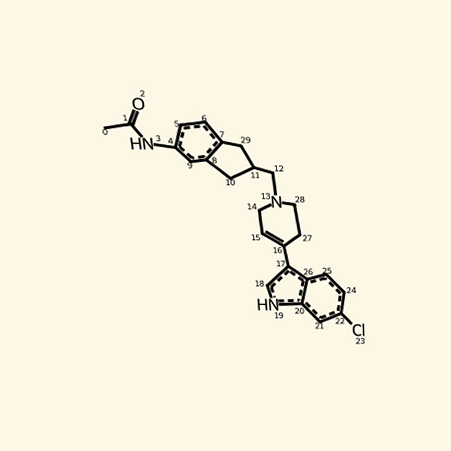 CC(=O)Nc1ccc2c(c1)CC(CN1CC=C(c3c[nH]c4cc(Cl)ccc34)CC1)C2